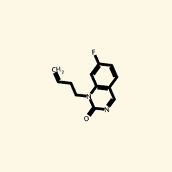 C=CCCn1c(=O)ncc2ccc(F)cc21